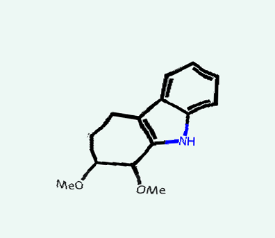 COC1[C]Cc2c([nH]c3ccccc23)C1OC